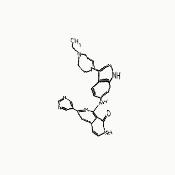 CCN1CCN(c2n[nH]c3cc(Nc4nc(-c5cncnc5)cc5cc[nH]c(=O)c45)ccc23)CC1